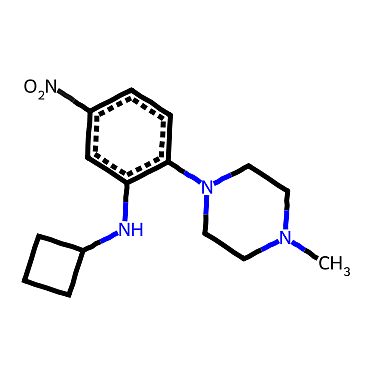 CN1CCN(c2ccc([N+](=O)[O-])cc2NC2CCC2)CC1